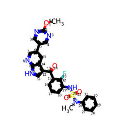 COc1ncc(-c2cnc3[nH]cc(C(=O)c4cccc(NS(=O)(=O)N(C)c5ccccc5)c4F)c3c2)cn1